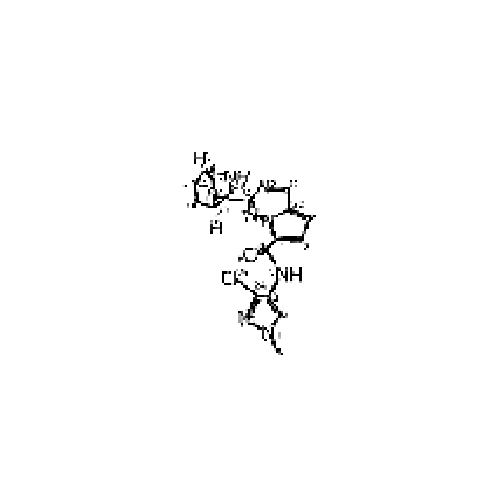 Cn1cc(NC(=O)c2ccc3cnc(N4C[C@H]5CC[C@@H]4CN5)nn23)c(Cl)n1